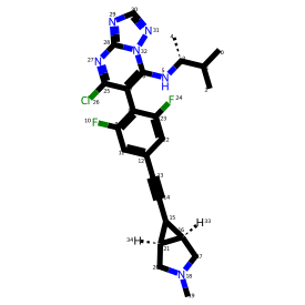 CC(C)[C@@H](C)Nc1c(-c2c(F)cc(C#CC3[C@H]4CN(C)C[C@@H]34)cc2F)c(Cl)nc2ncnn12